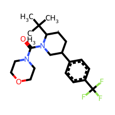 CC(C)(C)C1[CH]CC(c2ccc(C(F)(F)F)cc2)CN1C(=O)N1CCOCC1